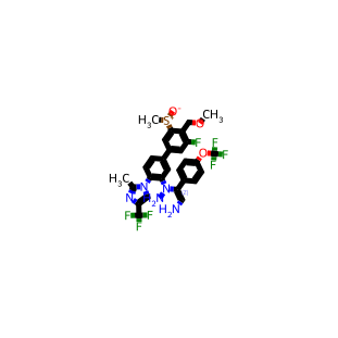 COCc1c(F)cc(-c2ccc(-n3cc(C(F)(F)F)nc3C)c(N(N)/C(=C\N)c3ccc(OC(F)(F)F)cc3)c2)cc1[S+](C)[O-]